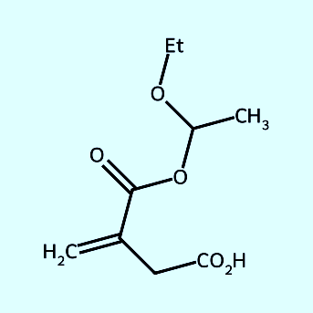 C=C(CC(=O)O)C(=O)OC(C)OCC